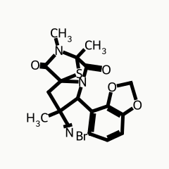 CN1C(=O)C23CC(C)(C#N)C(c4c(Br)ccc5c4OCO5)N2C(=O)C1(C)S3